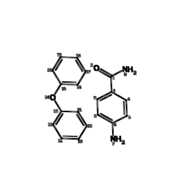 NC(=O)c1ccc(N)cc1.c1ccc(Oc2ccccc2)cc1